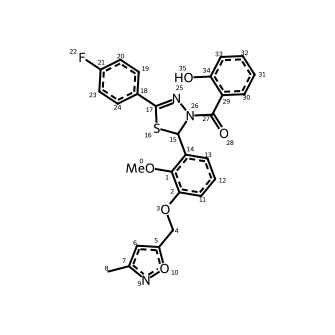 COc1c(OCc2cc(C)no2)cccc1C1SC(c2ccc(F)cc2)=NN1C(=O)c1ccccc1O